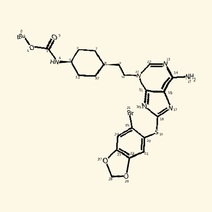 CC(C)(C)OC(=O)N[C@H]1CC[C@@H](CCn2cnc(N)c3nc(Sc4cc5c(cc4Br)OCO5)nc2-3)CC1